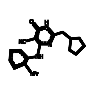 CCCc1ccccc1Nc1nc(CC2CCCC2)[nH]c(=O)c1C#N